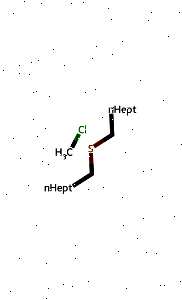 CCCCCCCCSCCCCCCCC.CCl